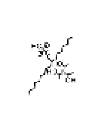 CC(O)N(C(C)O)C(C)O.CCCCCCCCCC(CCCCCCC)COS(=O)(=O)O